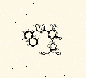 CC(NC(=O)c1cn([C@H]2C[C@H](O)[C@@H](CO)O2)c(=O)nc1N)c1cccc2ccccc12